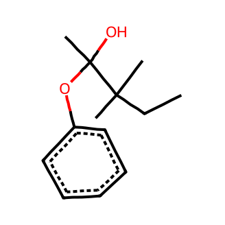 CCC(C)(C)C(C)(O)Oc1ccccc1